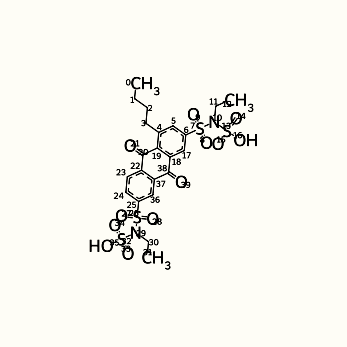 CCCCc1cc(S(=O)(=O)N(CC)S(=O)(=O)O)cc2c1C(=O)c1ccc(S(=O)(=O)N(CC)S(=O)(=O)O)cc1C2=O